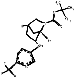 CC(C)(C)OC(=O)N1C[C@H]2C[C@@H](Nc3ccc(C(F)(F)F)nc3)[C@@H]1C2